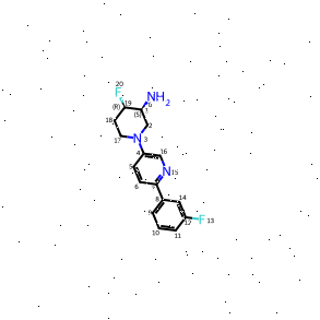 N[C@H]1CN(c2ccc(-c3cccc(F)c3)nc2)CC[C@H]1F